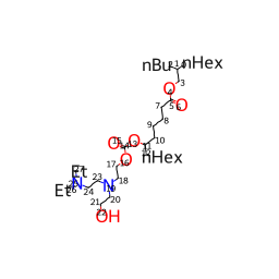 CCCCCCC(CCCC)COC(=O)CCCCC(CCCCCC)OC(=O)OCCN(CCO)CCN(CC)CC